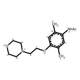 CC(=O)Nc1cc(C)c(OCCN2CCOCC2)cc1C